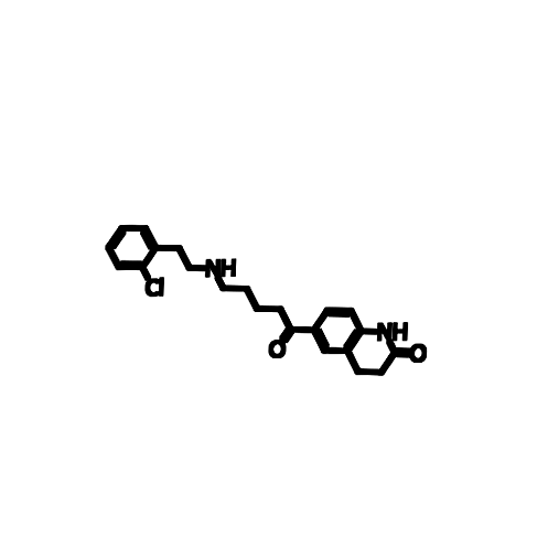 O=C1CCc2cc(C(=O)CCCCNCCc3ccccc3Cl)ccc2N1